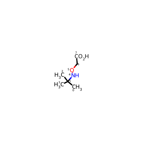 CC(C)(C)NOCC(=O)O